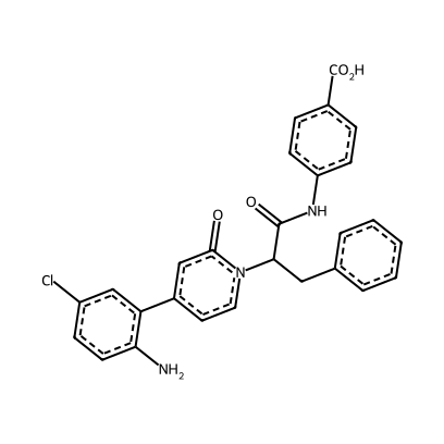 Nc1ccc(Cl)cc1-c1ccn(C(Cc2ccccc2)C(=O)Nc2ccc(C(=O)O)cc2)c(=O)c1